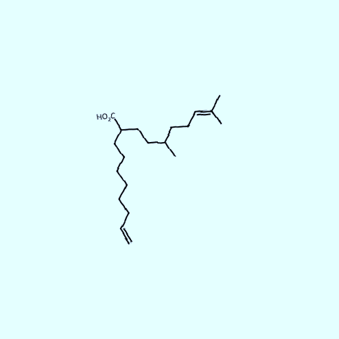 C=CCCCCCCC(CCC(C)CCC=C(C)C)C(=O)O